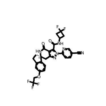 N#Cc1ccc(-n2nc3c(c2C(=O)NC2CC(F)(F)C2)C(=O)N[C@@]2(CCc4cc(OCC(F)(F)F)ccc42)C3)nc1